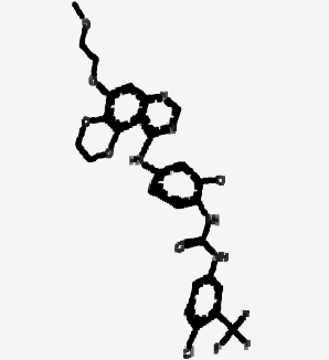 COCCOc1cc2ncnc(Nc3ccc(NC(=O)Nc4ccc(Cl)c(C(F)(F)F)c4)c(Cl)c3)c2c2c1OCCO2